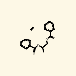 C=C.CC(COC(=O)c1ccccc1)OC(=O)c1ccccc1